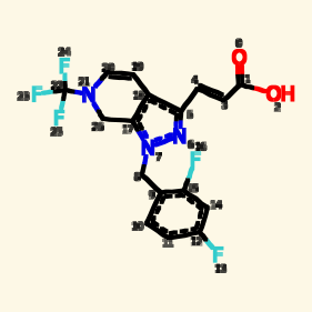 O=C(O)C=Cc1nn(Cc2ccc(F)cc2F)c2c1C=CN(C(F)(F)F)C2